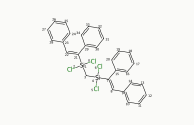 Cl[Si](Cl)(C[Si](Cl)(Cl)/C(=C/c1ccccc1)c1ccccc1)/C(=C/c1ccccc1)c1ccccc1